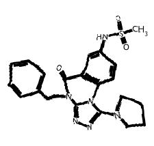 CS(=O)(=O)Nc1ccc2c(c1)c(=O)n(Cc1ccccc1)c1nnc(N3CCCC3)n21